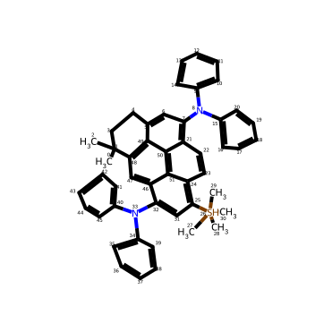 CC1(C)CCc2cc(N(c3ccccc3)c3ccccc3)c3ccc4c([SH](C)(C)(C)C)cc(N(c5ccccc5)c5ccccc5)c5cc1c2c3c54